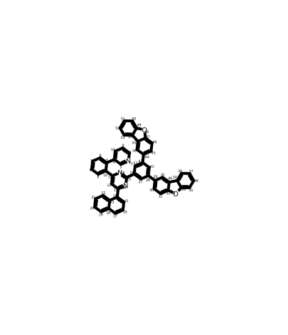 c1cncc(-c2ccccc2-c2cc(-c3cccc4ccccc34)nc(-c3cc(-c4ccc5oc6ccccc6c5c4)cc(-c4ccc5oc6ccccc6c5c4)c3)n2)c1